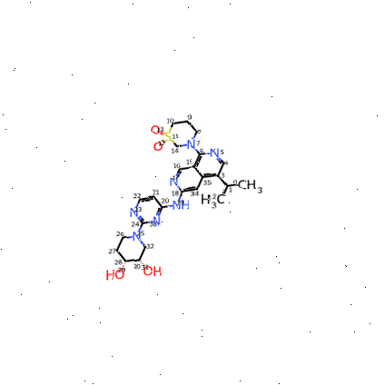 CC(C)c1cnc(N2CCCS(=O)(=O)C2)c2cnc(Nc3ccnc(N4CC[C@@H](O)[C@@H](O)C4)n3)cc12